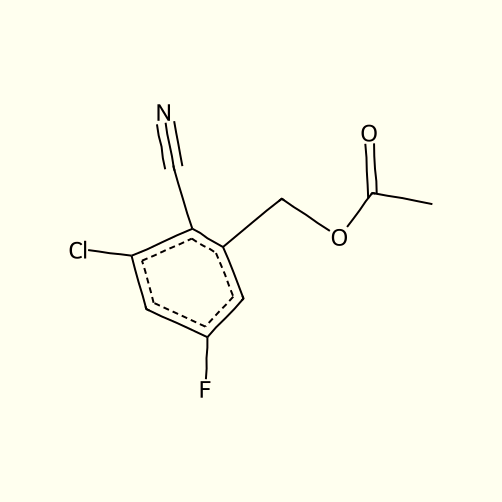 CC(=O)OCc1cc(F)cc(Cl)c1C#N